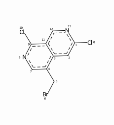 Clc1cc2c(CBr)cnc(Cl)c2cn1